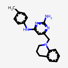 Cc1ccc(Nc2cc(CN3CCCc4ccccc43)nc(N)n2)cc1